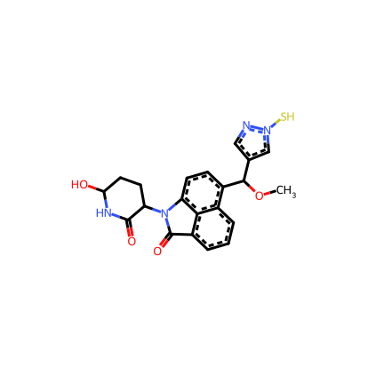 COC(c1cnn(S)c1)c1ccc2c3c(cccc13)C(=O)N2C1CCC(O)NC1=O